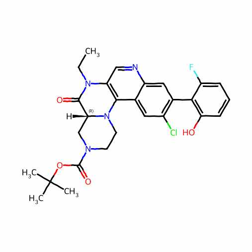 CCN1C(=O)[C@H]2CN(C(=O)OC(C)(C)C)CCN2c2c1cnc1cc(-c3c(O)cccc3F)c(Cl)cc21